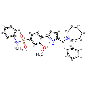 COc1cc(S(=O)(=O)N(C)c2ccccc2)ccc1-c1ccc(CN2CCCCC[C@@H]2c2ccccc2)[nH]1